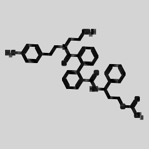 Cc1ccc(CCN(CCC(=O)O)C(=O)c2ccccc2-c2ccccc2C(=O)NC(CCOC(=O)C(F)(F)F)c2ccccc2)cc1